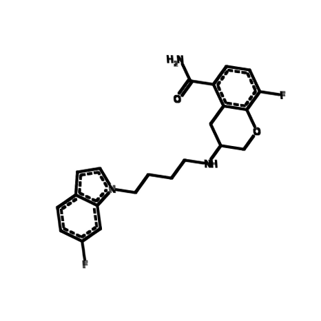 NC(=O)c1ccc(F)c2c1CC(NCCCCn1ccc3ccc(F)cc31)CO2